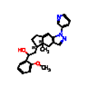 COc1ccccc1C(O)C[C@H]1CCC2=Cc3c(cnn3-c3cccnc3)C[C@@]21C